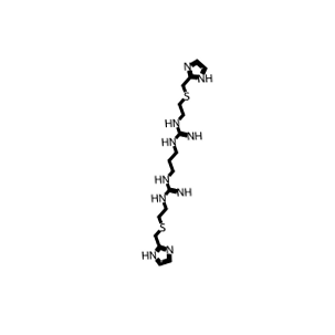 N=C(NCCCNC(=N)NCCSCc1ncc[nH]1)NCCSCc1ncc[nH]1